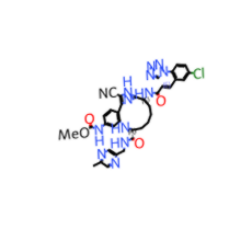 COC(=O)Nc1ccc2c(c1)N[C@@H](C(=O)NCc1cnc(C)cn1)CCCC[C@H](NC(=O)/C=C/c1cc(Cl)ccc1-n1cnnn1)c1nc-2c(C#N)[nH]1